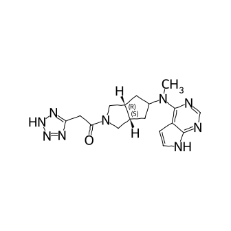 CN(c1ncnc2[nH]ccc12)C1C[C@@H]2CN(C(=O)Cc3nn[nH]n3)C[C@@H]2C1